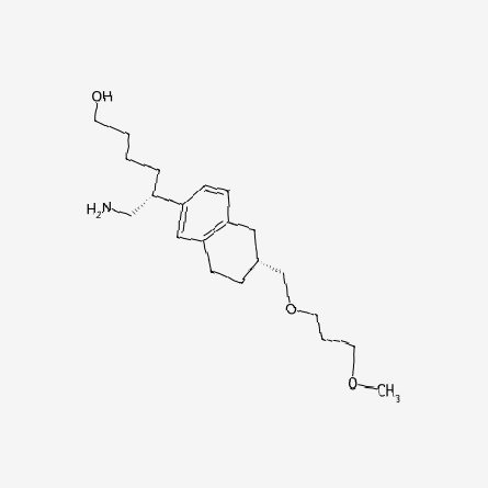 COCCCOC[C@@H]1CCc2cc([C@H](CN)CCCCO)ccc2C1